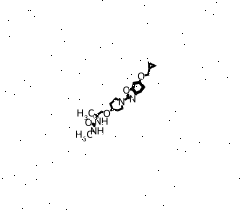 CNC(=O)N[C@@H](C)COC1CCN(c2nc3ccc(OCC4CC4)cc3o2)CC1